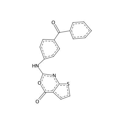 O=C(c1ccccc1)c1ccc(Nc2nc3sccc3c(=O)o2)cc1